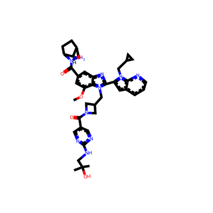 COc1cc(C(=O)N2CC3CCC2[C@@H]3N)cc2nc(-c3cc4cccnc4n3CC3CC3)n(CC3CN(C(=O)c4cnc(NCC(C)(C)O)nc4)C3)c12